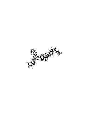 CN(C)CCN(C)C(=O)c1ccc(NC(=O)Nc2ccc(-c3nc(N4CCOCC4)nc(N4CCN(C(=O)N(C)C)CC4)n3)cc2)cc1